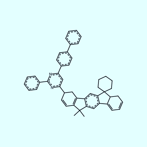 CC1(C)C2=C(CC(c3cc(-c4ccc(-c5ccccc5)cc4)nc(-c4ccccc4)n3)C=C2)c2cc3c(cc21)C1=CC=CCC1C31CCCCC1